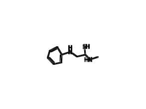 CNC(S)CNc1ccccc1